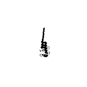 CCCCCCCCCCc1ccc2cc(C(=O)NCCC(=O)N3CCC[C@@H]3C=O)ccc2c1